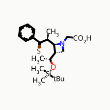 C[C@H](C(=S)c1ccccc1)[C@@H]1[C@@H]([C@@H](C)O[Si](C)(C)C(C)(C)C)CN1CC(=O)O